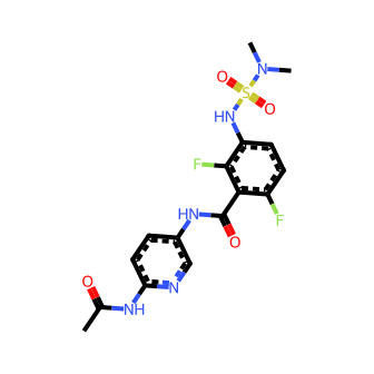 CC(=O)Nc1ccc(NC(=O)c2c(F)ccc(NS(=O)(=O)N(C)C)c2F)cn1